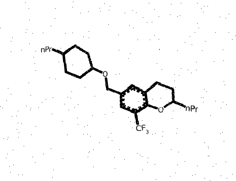 CCCC1CCC(OCc2cc3c(c(C(F)(F)F)c2)OC(CCC)CC3)CC1